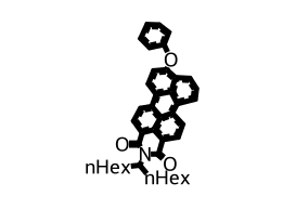 CCCCCCC(CCCCCC)N1C(=O)c2ccc3c4cccc5c(Oc6ccccc6)ccc(c6ccc(c2c36)C1=O)c54